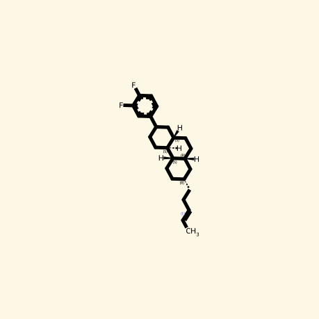 C/C=C/CC[C@@H]1CC[C@H]2[C@H](CC[C@H]3CC(c4ccc(F)c(F)c4)CC[C@@H]32)C1